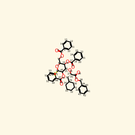 CCSC1OC(COC(=O)c2ccccc2)C(OC(=O)c2ccccc2)[C@H](O[C@@H](CC2CCCCC2)C(=O)OCc2ccccc2)C1OC(=O)c1ccccc1